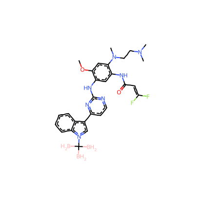 BC(B)(B)n1cc(-c2ccnc(Nc3cc(NC(=O)C=C(F)F)c(N(C)CCN(C)C)cc3OC)n2)c2ccccc21